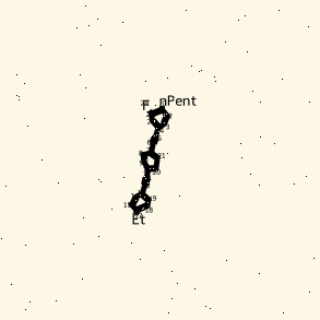 CCCCCc1ccc(C#Cc2ccc(C#Cc3ccc(CC)cc3)cc2)cc1F